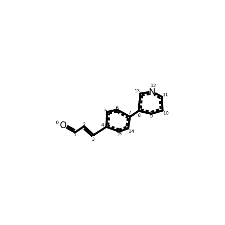 O=C/C=C/c1ccc(-c2cccnc2)cc1